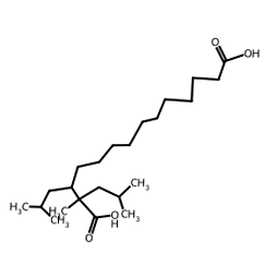 CC(C)CC(CCCCCCCCCCC(=O)O)C(C)(CC(C)C)C(=O)O